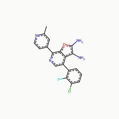 Cc1cc(-c2ncc(-c3cccc(Cl)c3F)c3c(N)c(N)oc23)ccn1